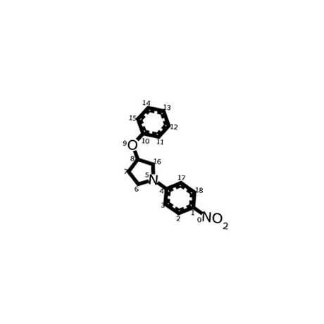 O=[N+]([O-])c1ccc(N2CCC(Oc3ccccc3)C2)cc1